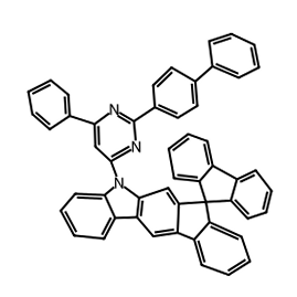 c1ccc(-c2ccc(-c3nc(-c4ccccc4)cc(-n4c5ccccc5c5cc6c(cc54)C4(c5ccccc5-c5ccccc54)c4ccccc4-6)n3)cc2)cc1